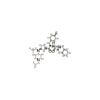 CC(C)CN1CCC(N(CC(C)C)[C@H]2CCN(C(=O)[C@@H](Cc3ccc(F)cc3)NC(=O)[C@H]3Cc4ccccc4CN3)C2)CC1